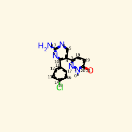 Cn1nc(-c2cnc(N)nc2-c2ccc(Cl)cc2)ccc1=O